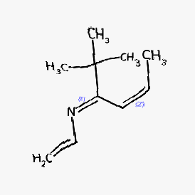 C=C/N=C(\C=C/C)C(C)(C)C